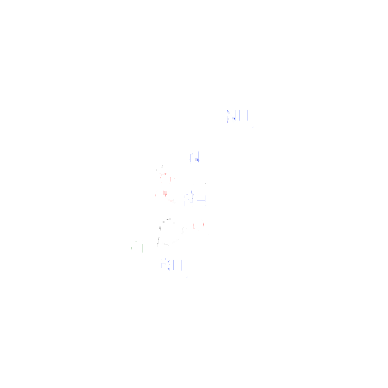 COc1cc(N)c(Cl)cc1C(=O)N[C@@H]1CCN(CCCN)C[C@@H]1OC